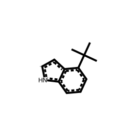 CC(C)(C)c1cccc2[nH][c]cc12